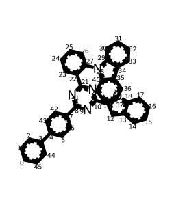 c1ccc(-c2ccc(-c3nc(-c4cc5ccccc5o4)nc(-c4ccccc4-n4c5ccccc5c5ccccc54)n3)cc2)cc1